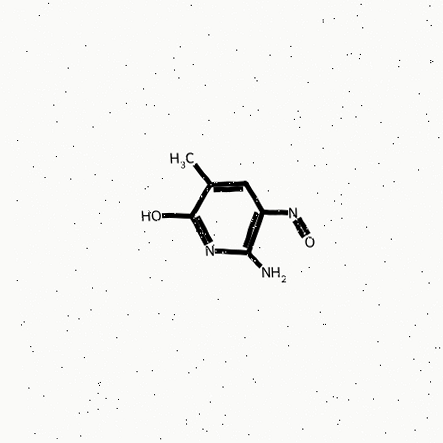 Cc1cc(N=O)c(N)nc1O